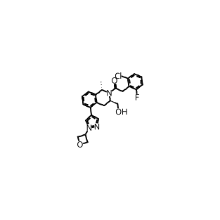 C[C@H]1c2cccc(-c3cnn(C4COC4)c3)c2C[C@H](CO)N1C(=O)Cc1c(F)cccc1Cl